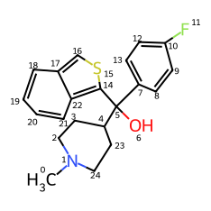 CN1CCC(C(O)(c2ccc(F)cc2)c2scc3ccccc23)CC1